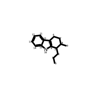 CCCC1C2=C(CCC1C)c1ccccc1[N]2